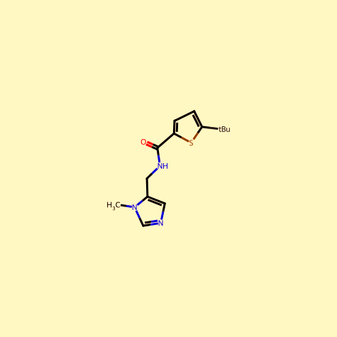 Cn1cncc1CNC(=O)c1ccc(C(C)(C)C)s1